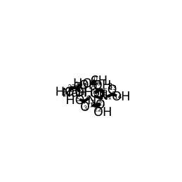 CCO.O=C(O)CN(CCN(CC(=O)O)CC(=O)O)CC(=O)O.OCC(O)CO.[NaH]